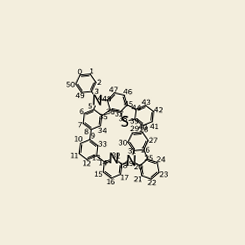 c1ccc(-n2c3ccc(-c4cccc(-c5cccc(-n6c7ccccc7c7ccccc76)n5)c4)cc3c3c4sc5ccccc5c4ccc32)cc1